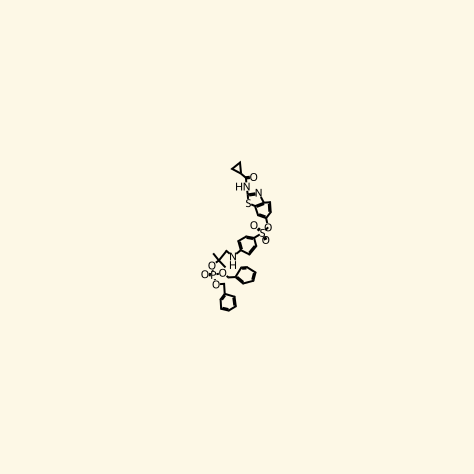 CC(C)(CNc1ccc(S(=O)(=O)Oc2ccc3nc(NC(=O)C4CC4)sc3c2)cc1)OP(=O)(OCc1ccccc1)OCc1ccccc1